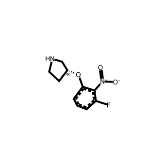 O=[N+]([O-])c1c(F)cccc1O[C@@H]1CCNC1